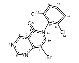 O=c1c2cncnc2c(Br)cn1-c1c(Cl)cccc1Cl